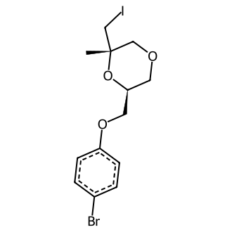 C[C@@]1(CI)COC[C@@H](COc2ccc(Br)cc2)O1